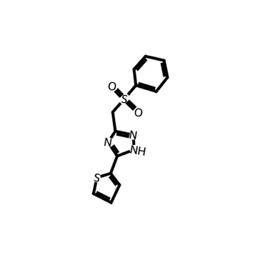 O=S(=O)(Cc1n[nH]c(-c2cccs2)n1)c1ccccc1